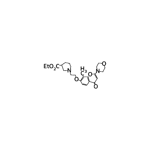 CCOC(=O)C1CCCN(CCOc2ccc3c(=O)cc(N4CCOCC4)oc3c2C)C1